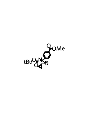 COC(=O)c1ccc(S(=O)(=NC(=O)OC(C)(C)C)C2CC2)cc1